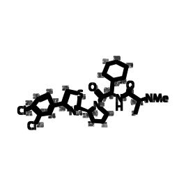 CN[C@@H](C)C(=O)N[C@H](C(=O)N1CCC[C@H]1c1nc(-c2ccc(Cl)c(Cl)c2)cs1)C1CCCCC1